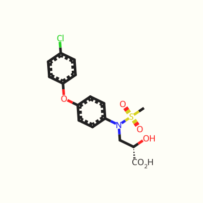 CS(=O)(=O)N(C[C@H](O)C(=O)O)c1ccc(Oc2ccc(Cl)cc2)cc1